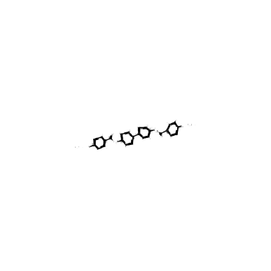 COc1ccc(C(=O)Nc2ccc(-c3ccc(NC(=O)c4ccc(OC)cc4)cc3)cc2)cc1